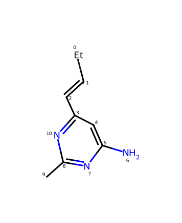 CC[C]=Cc1cc(N)nc(C)n1